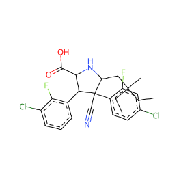 CCC(C)(CC)CC1NC(C(=O)O)C(c2cccc(Cl)c2F)C1(C#N)c1ccc(Cl)cc1F